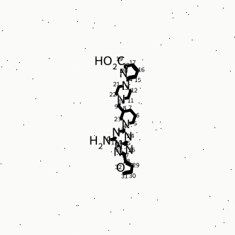 Nc1nc(N2CCCC(CN3CCN(c4cccc(C(=O)O)n4)CC3)C2)nc2nc(-c3ccco3)nn12